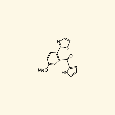 COc1ccc(-c2nccs2)c(C(=O)c2ccc[nH]2)c1